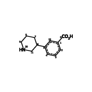 O=C(O)c1cccc(C2CCCNC2)c1